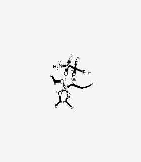 CCC[Si](OCC)(OCC)OCC.NS(=O)(=O)C(F)(F)F